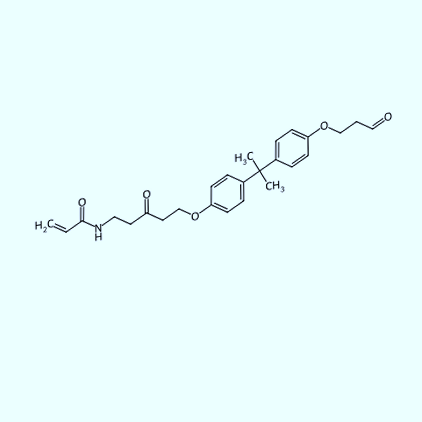 C=CC(=O)NCCC(=O)CCOc1ccc(C(C)(C)c2ccc(OCCC=O)cc2)cc1